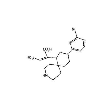 O=C(O)C=C(C(=O)O)C1CN(c2cccc(Br)n2)CCC12CCNCC2